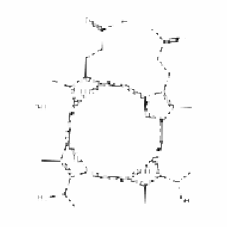 CC1=C(CCC(=O)O)c2cc3[nH]c(cc4nc(cc5[nH]c(cc1n2)c(C(C)O)c5C)C(C(C)O)=C4C)c(C)c3CCC(=O)O.[SbH3]